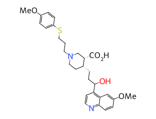 COc1ccc(SCCCN2CC[C@@H](CCC(O)c3ccnc4ccc(OC)cc34)[C@@H](C(=O)O)C2)cc1